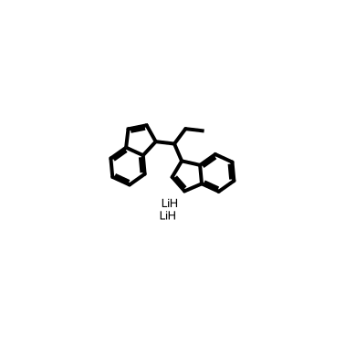 CCC(C1C=Cc2ccccc21)C1C=Cc2ccccc21.[LiH].[LiH]